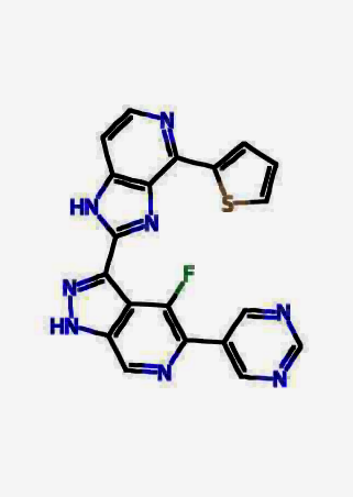 Fc1c(-c2cncnc2)ncc2[nH]nc(-c3nc4c(-c5cccs5)nccc4[nH]3)c12